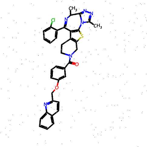 Cc1nnc2n1-c1sc3c(c1C(c1ccccc1Cl)=NC2C)CCN(C(=O)c1cccc(OCc2ccc4ccccc4n2)c1)C3